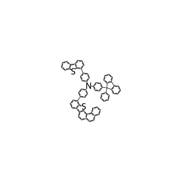 c1ccc(C2(c3ccc(N(c4ccc(-c5cccc6c5sc5ccccc56)cc4)c4ccc(-c5cccc6c5sc5c6ccc6ccc7ccccc7c65)cc4)cc3)c3ccccc3-c3ccccc32)cc1